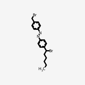 CCCCCC(Br)c1ccc(N=Nc2ccc(CBr)cc2)cc1